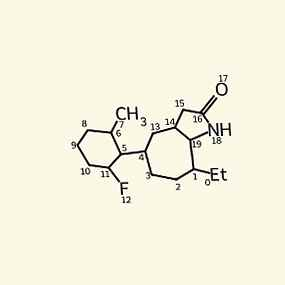 CCC1CCC(C2C(C)CCCC2F)CC2CC(=O)NC12